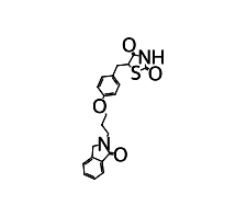 O=C1NC(=O)C(Cc2ccc(OCCCN3Cc4ccccc4C3=O)cc2)S1